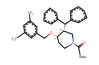 CNC(=O)N1CC[C@H](OCc2cc(C(F)(F)F)cc(C(F)(F)F)c2)[C@H](C(c2ccccc2)c2ccccc2)C1